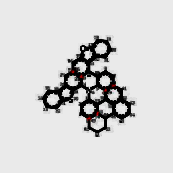 c1ccc(N(c2ccccc2-c2cccc3oc4ccccc4c23)c2cccc3c2sc2ccccc23)c(-c2cccc3cccc(C4CCCCC4)c23)c1